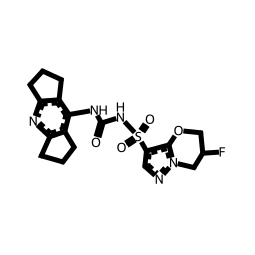 O=C(Nc1c2c(nc3c1CCC3)CCC2)NS(=O)(=O)c1cnn2c1OCC(F)C2